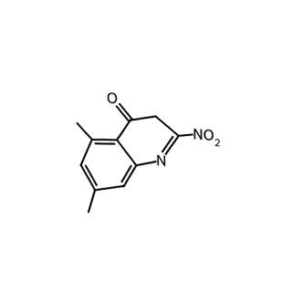 Cc1cc(C)c2c(c1)N=C([N+](=O)[O-])CC2=O